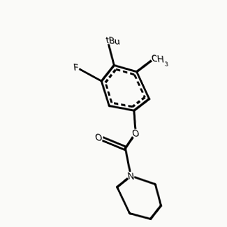 Cc1cc(OC(=O)N2CCCCC2)cc(F)c1C(C)(C)C